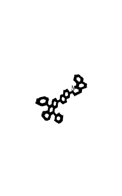 c1ccc(-c2c3ccccc3c(-c3ccccc3)c3cc(-c4ccc5cc(-c6ccc7ccc8ccccc8c7n6)ccc5c4)ccc23)cc1